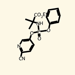 CCOC(=O)C(C)(C)NP(=O)(Oc1ccccc1)Oc1ccc(C#N)nc1